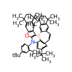 Cc1cc(C(C)(C)C)ccc1N1c2cc([Si](C)(C)C)cc3c2B(c2cc4c(cc2C=C3)C(C)(C)CCC4(C)C)c2c1oc1cc3c(cc21)C(C)(C)CCC3(C)C